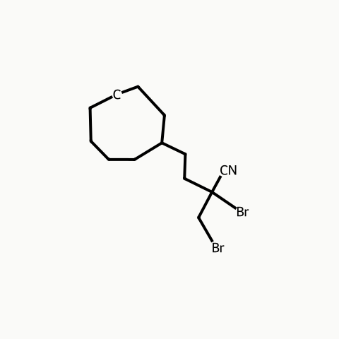 N#CC(Br)(CBr)CCC1CCCCCCC1